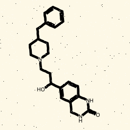 O=C1NCc2cc(C(O)CCN3CCC(Cc4ccccc4)CC3)ccc2N1